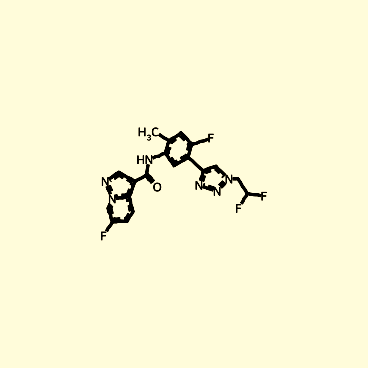 Cc1cc(F)c(-c2cn(CC(F)F)nn2)cc1NC(=O)c1cnn2cc(F)ccc12